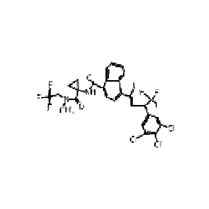 CN(CC(F)(F)F)C(=O)C1(NC(=O)c2ccc(/C(F)=C/C(c3cc(Cl)c(Cl)c(Cl)c3)C(F)(F)F)c3ccccc23)CC1